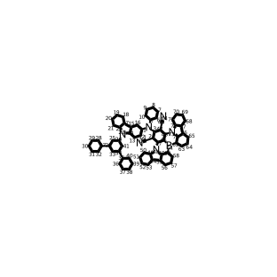 N#Cc1c(N(c2ccccc2)c2ccc3c(c2)c2ccccc2n3-c2cc(-c3ccccc3)cc(-c3ccccc3)c2)c(C#N)c2c3c1-n1c4ccccc4c4cccc(c41)B3c1cccc3c4ccccc4n-2c13